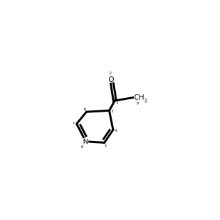 CC(=O)C1C=CN=CC1